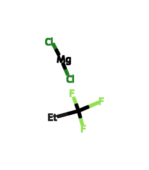 [CH2]CC(F)(F)F.[Cl][Mg][Cl]